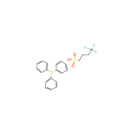 O=S(=O)([O-])CCCC(F)(F)F.c1ccc([S+](c2ccccc2)c2ccccc2)cc1